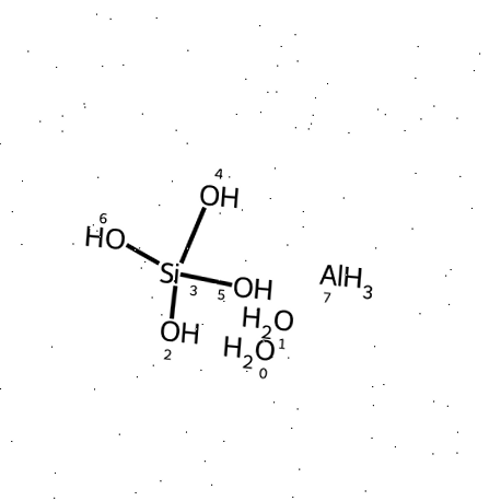 O.O.O[Si](O)(O)O.[AlH3]